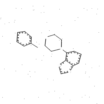 c1ccc(C[C@H]2CN(c3cccc4[nH]cnc34)CCO2)cc1